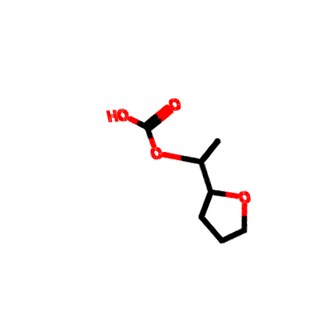 CC(OC(=O)O)C1CCCO1